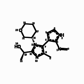 C=Nc1[nH]ccc1-c1c(C)nc([C@@H](C)O)n1[C@H]1CCCOC1